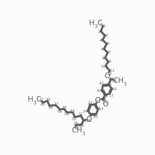 CCCCCCCCCCCCOC(C)c1ccc(C(=O)Oc2ccc(OC(CCC)CCCCCCCCCCC)cc2)cc1